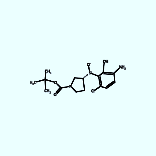 CC(C)(C)OC(=O)N1CC[C@@H]([S+]([O-])c2c(Cl)ccc(N)c2O)C1